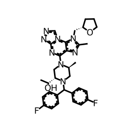 Cc1nc2c(N3C[C@@H](C(C)O)N(C(c4ccc(F)cc4)c4ccc(F)cc4)C[C@@H]3C)nc3nncn3c2n1C[C@@H]1CCCO1